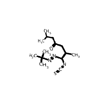 CC(C)CC(=O)CC(C)C(N=C=S)N=NC(C)(C)C